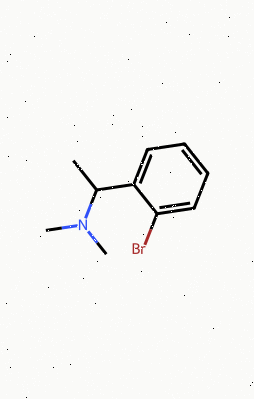 CC(c1ccccc1Br)N(C)C